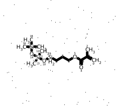 C=C(C)C(=O)OCCC[SiH2]O[Si](C)(C)O[Si](C)(C)C